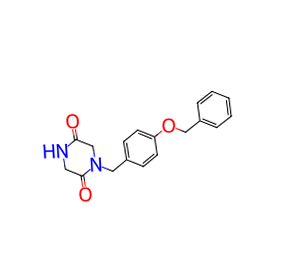 O=C1CN(Cc2ccc(OCc3ccccc3)cc2)C(=O)CN1